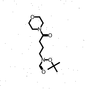 CC(C)(C)ON(C=O)CCCC(=O)N1CCOCC1